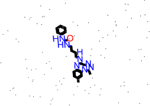 Cc1ccc2nc(NCCCCNC(=O)Nc3ccccc3)c3nnc(C)n3c2c1